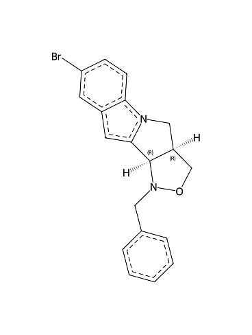 Brc1ccc2c(c1)cc1n2C[C@H]2CON(Cc3ccccc3)[C@@H]12